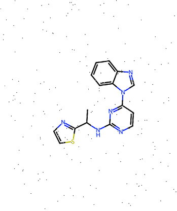 CC(Nc1nccc(-n2cnc3ccccc32)n1)c1nccs1